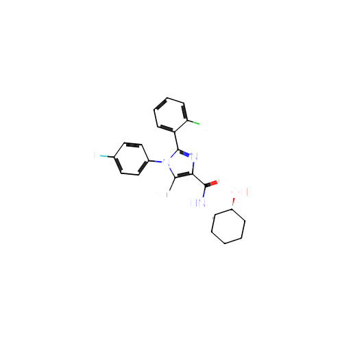 CCCc1c(C(=O)N[C@H]2CCCC[C@@H]2O)nc(-c2ccccc2Cl)n1-c1ccc(F)cc1